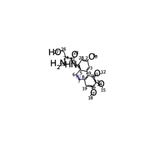 COc1ccc(/C=C\c2cc(OC)c(OC)c(OC)c2)c(NC(=O)C(N)CO)c1